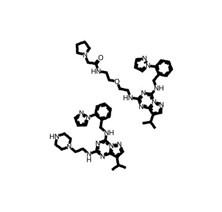 CC(C)c1cnn2c(NCc3ccccc3-n3cccn3)nc(NCCN3CCNCC3)nc12.CC(C)c1cnn2c(NCc3ccccc3-n3cccn3)nc(NCCOCCNC(=O)CN3CCCC3)nc12